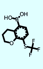 OB(O)c1ccc(SC(F)(F)F)c2c1CCCO2